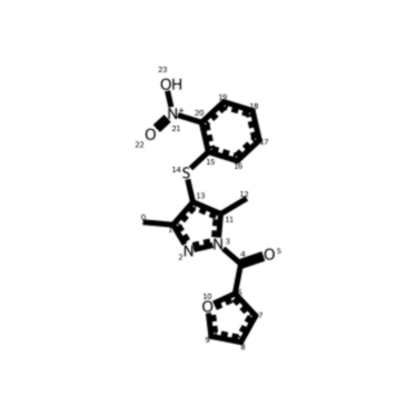 Cc1nn(C(=O)c2ccco2)c(C)c1Sc1ccccc1[N+](=O)O